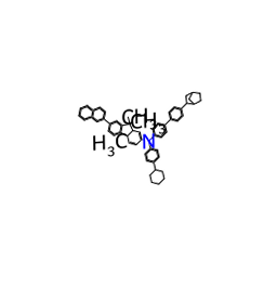 CC1(C)c2cc(-c3ccc4ccccc4c3)ccc2C2(C)C=CC(N(c3ccc(-c4ccc(C5CC6CCC5C6)cc4)cc3)c3ccc(C4CCCCC4)cc3)=CC12